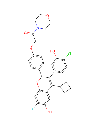 O=C(COc1ccc(C2Oc3cc(F)c(O)cc3C(C3CCC3)=C2c2ccc(Cl)c(O)c2)cc1)N1CCOCC1